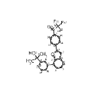 CC(C)(O)c1cc(-c2ccnc3cc(-c4ccc([S@@+]([O-])C(F)(F)F)cc4)oc23)ccn1